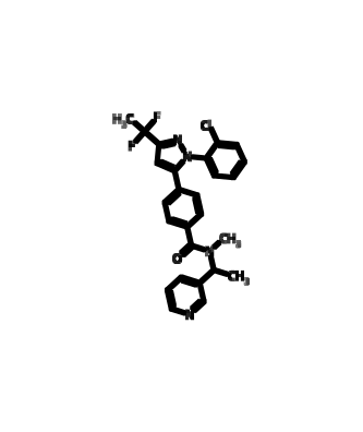 CC(c1cccnc1)N(C)C(=O)c1ccc(-c2cc(C(C)(F)F)nn2-c2ccccc2Cl)cc1